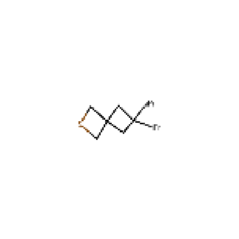 CC(C)C1(C(C)C)CC2(CSC2)C1